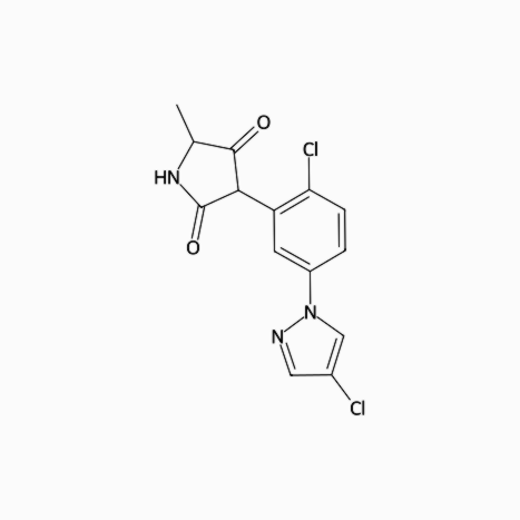 CC1NC(=O)C(c2cc(-n3cc(Cl)cn3)ccc2Cl)C1=O